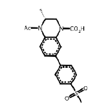 CC(=O)N1c2ccc(-c3ccc(S(C)(=O)=O)cc3)cc2N(C(=O)O)C[C@H]1C